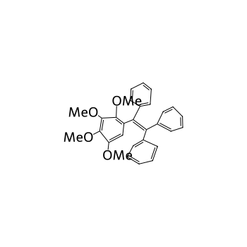 COc1cc(C(=C(c2ccccc2)c2ccccc2)c2ccccc2)c(OC)c(OC)c1OC